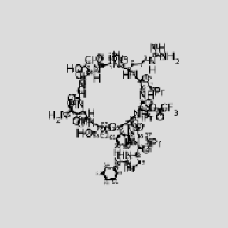 CC[C@H](C)[C@@H]1NC(=O)[C@@H](CCCNC(=N)N)NC(=O)[C@H](CC(C)C)NC(=O)[C@H]([C@H](OC(=O)C(F)(F)F)C(C)C)NC(=O)[C@@H](NC(=O)[C@H](CC(C)C)NC(=O)[C@@H](CC(C)C)NC(=S)Nc2ccccc2)[C@@H](c2ccccc2)OC(=O)[C@H](CO)NC(=O)[C@H]([C@H](O)C(N)=O)NC(=O)CNC(=O)[C@H]([C@H](C)O)NC1=O